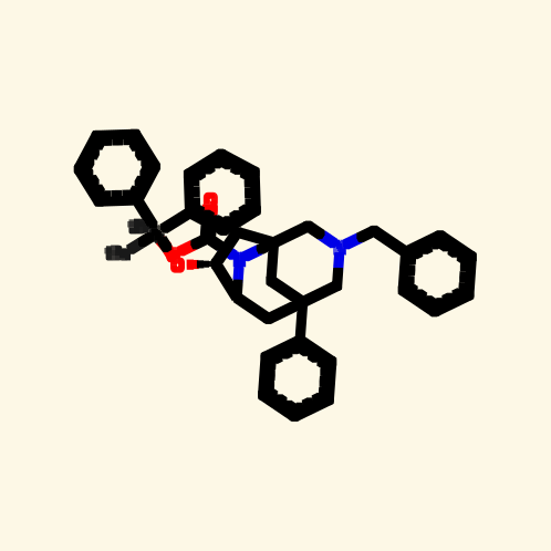 CC(C)(C)OC(=O)N1C2CC3(c4ccccc4)CN(Cc4ccccc4)CC1(C[C@H]2O[Si](c1ccccc1)(c1ccccc1)C(C)(C)C)C3